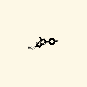 Cc1cc(-c2ccc(F)cc2)nc2cc(C(=O)O)nn12